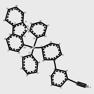 N#Cc1cccc(-c2cccc([Si](c3ccccc3)(c3ccccc3)c3cccc4c3sc3ccccc34)c2)c1